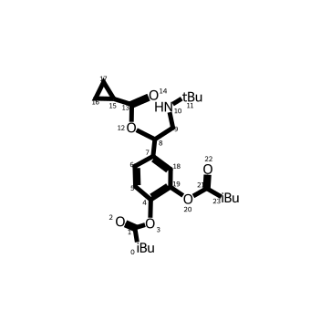 CCC(C)C(=O)Oc1ccc(C(CNC(C)(C)C)OC(=O)C2CC2)cc1OC(=O)C(C)CC